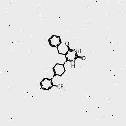 O=c1[nH]c(C2CC=C(c3ccccc3C(F)(F)F)CC2)c(Cc2ccccc2)c(=O)[nH]1